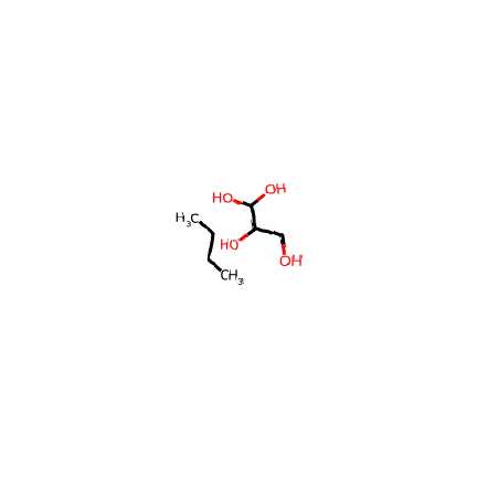 CCCC.OCC(O)C(O)O